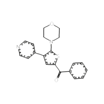 O=C(c1ccccc1)c1cc(-c2ccncc2)c(N2CCOCC2)s1